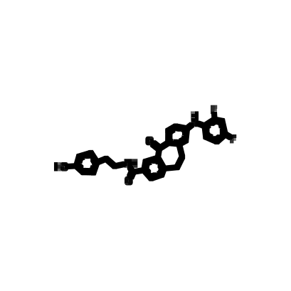 O=C(NCCc1ccc(O)cc1)c1ccc2c(c1)C(=O)c1ccc(Nc3ccc(F)cc3F)cc1CC2